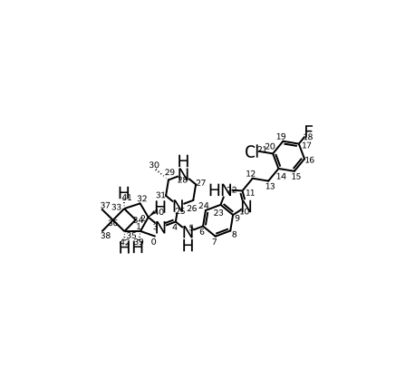 C[C@@H]1[C@@H](/N=C(/Nc2ccc3nc(CCc4ccc(F)cc4Cl)[nH]c3c2)N2CCN[C@@H](C)C2)C[C@H]2C[C@@H]1C2(C)C